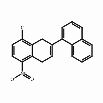 O=[N+]([O-])c1ccc(Cl)c2c1CC=C(c1cccc3ccccc13)[CH]2